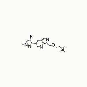 C[Si](C)(C)CCOCn1ncc2cc(-c3n[nH]cc3Br)cnc21